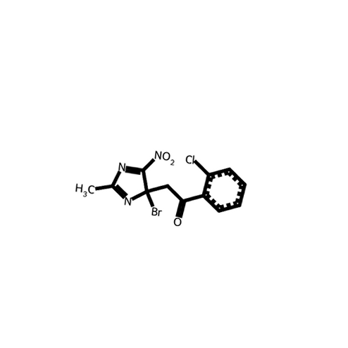 CC1=NC(Br)(CC(=O)c2ccccc2Cl)C([N+](=O)[O-])=N1